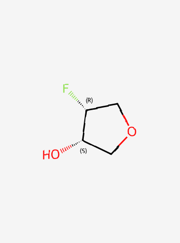 O[C@H]1COC[C@H]1F